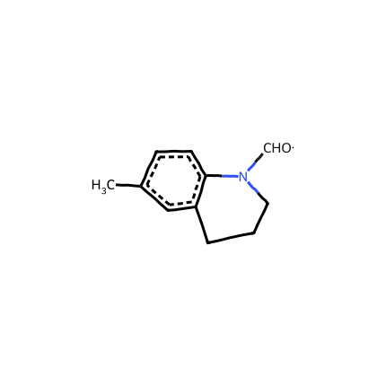 Cc1ccc2c(c1)CCCN2[C]=O